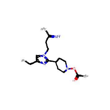 CCCC(=N)CCn1cc(CC(C)C)nc1C1CCN(OC(=O)C(C)(C)C)CC1